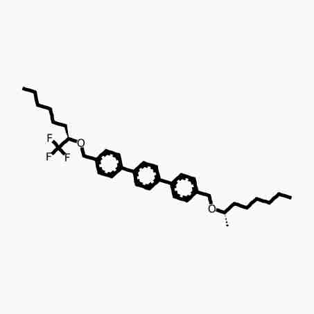 CCCCCC[C@H](C)OCc1ccc(-c2ccc(-c3ccc(CO[C@H](CCCCCC)C(F)(F)F)cc3)cc2)cc1